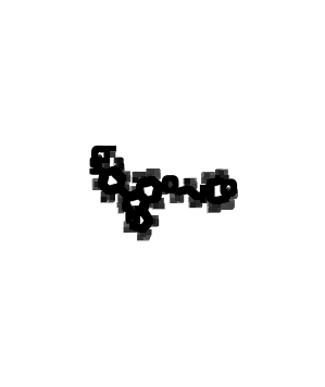 FC(F)(F)Sc1ccc(-c2c[n+]3c(c4cc(OCCCN5CCOCC5)ccc24)CCC3)cc1